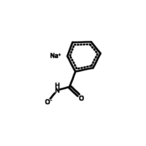 O=C(N[O-])c1ccccc1.[Na+]